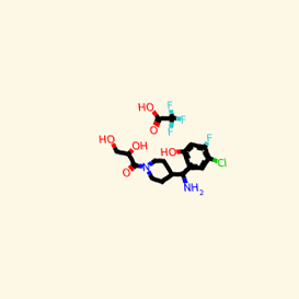 NC(c1cc(Cl)c(F)cc1O)C1CCN(C(=O)C(O)CO)CC1.O=C(O)C(F)(F)F